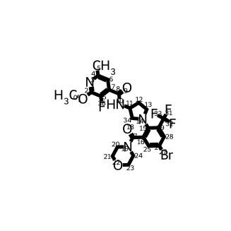 COc1nc(C)cc(C(=O)NC2CCN(c3c(C(=O)N4CCOCC4)cc(Br)cc3C(F)(F)F)C2)c1F